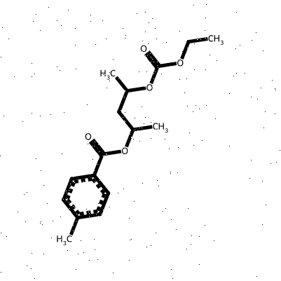 CCOC(=O)OC(C)CC(C)OC(=O)c1ccc(C)cc1